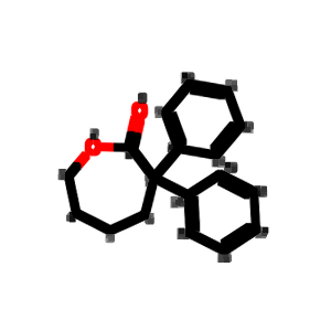 O=C1OCCCCC1(c1ccccc1)c1ccccc1